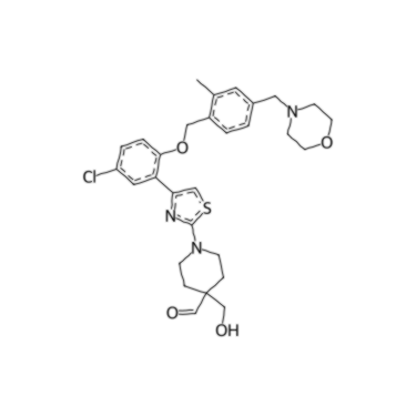 Cc1cc(CN2CCOCC2)ccc1COc1ccc(Cl)cc1-c1csc(N2CCC(C=O)(CO)CC2)n1